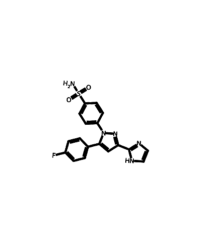 NS(=O)(=O)c1ccc(-n2nc(-c3ncc[nH]3)cc2-c2ccc(F)cc2)cc1